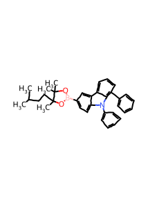 CC(C)CCC1(C)OB(c2ccc3c(c2)c2cccc(-c4ccccc4)c2n3-c2ccccc2)OC1(C)C